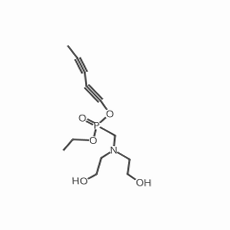 CC#CC#COP(=O)(CN(CCO)CCO)OCC